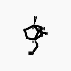 OC[C@@]12CO[C@@H]([CH]O1)[C@@H]2O